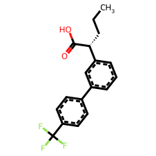 CCC[C@@H](C(=O)O)c1cccc(-c2ccc(C(F)(F)F)cc2)c1